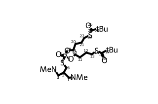 CNCC(CNC)CSP(=O)(OCCCCSC(=O)C(C)(C)C)OCCCCSC(=O)C(C)(C)C